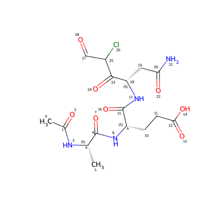 CC(=O)N[C@@H](C)C(=O)N[C@@H](CCC(=O)O)C(=O)N[C@@H](CC(N)=O)C(=O)C(Cl)C=O